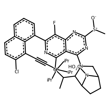 CC1Oc2nc(-c3cccc4ccc(Cl)c(C#C[Si](C(C)C)(C(C)C)C(C)C)c34)c(F)c3nc([S+](C)[O-])nc(c23)N2CC3CCC(C12)N3C(=O)O